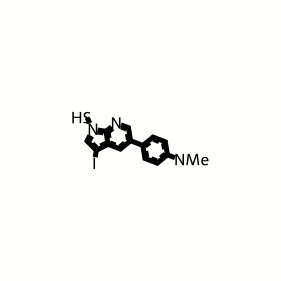 CNc1ccc(-c2cnc3c(c2)c(I)cn3S)cc1